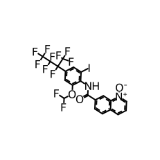 O=C(Nc1c(I)cc(C(F)(C(F)(F)F)C(F)(F)C(F)(F)F)cc1OC(F)F)c1ccc2ccc[n+]([O-])c2c1